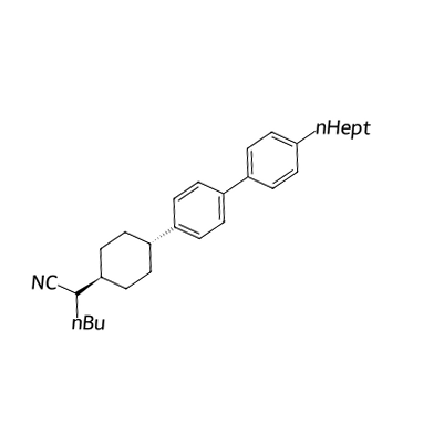 CCCCCCCc1ccc(-c2ccc([C@H]3CC[C@H](C(C#N)CCCC)CC3)cc2)cc1